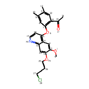 COc1cc2c(Oc3cc(C)c(C)cc3C(C)=O)ccnc2cc1OCCCCl